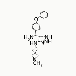 CN1CC2(CC(NC3=NNNC=C3C(N)c3ccc(Oc4ccccc4)cc3)C2)C1